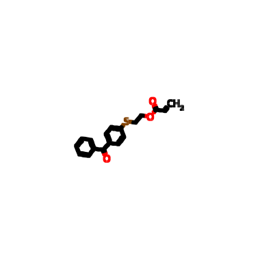 C=CC(=O)OCCSc1ccc(C(=O)c2ccccc2)cc1